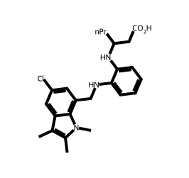 CCCC(CC(=O)O)Nc1ccccc1NCc1cc(Cl)cc2c(C)c(C)n(C)c12